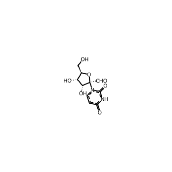 O=C[C@@]1(n2ccc(=O)[nH]c2=O)O[C@H](CO)[C@@H](O)[C@H]1O